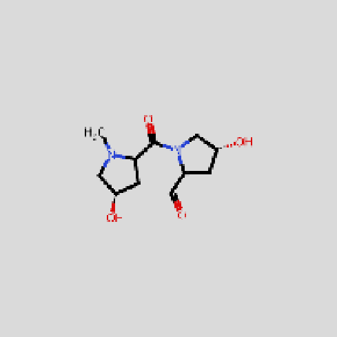 CN1C[C@H](O)CC1C(=O)N1C[C@H](O)CC1C=O